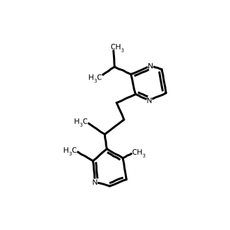 Cc1ccnc(C)c1C(C)CCc1nccnc1C(C)C